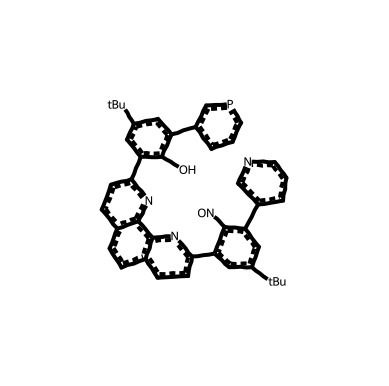 CC(C)(C)c1cc(-c2cccpc2)c(O)c(-c2ccc3ccc4ccc(-c5cc(C(C)(C)C)cc(-c6cccnc6)c5N=O)nc4c3n2)c1